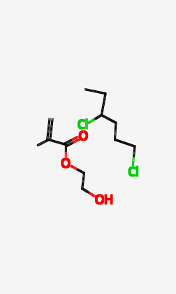 C=C(C)C(=O)OCCO.CCC(Cl)CCCCl